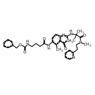 Cc1c(NC(=O)CCCNC(=O)OCc2ccccc2)ccc2nc(NC(C)(C)C(=O)N(C)CCc3ccccn3)oc(=O)c12